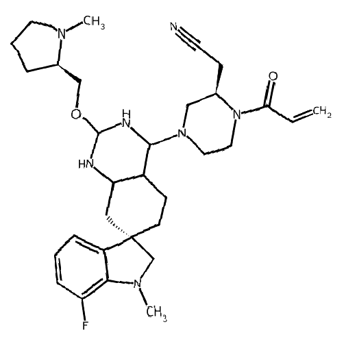 C=CC(=O)N1CCN(C2NC(OC[C@H]3CCCN3C)NC3C[C@]4(CCC32)CN(C)c2c(F)cccc24)C[C@H]1CC#N